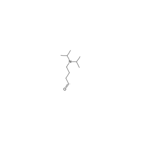 CC(C)N(CCC[C]=O)C(C)C